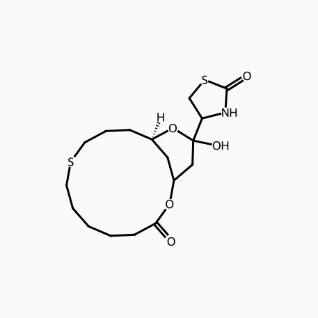 O=C1CCCCCSCCC[C@@H]2CC(CC(O)(C3CSC(=O)N3)O2)O1